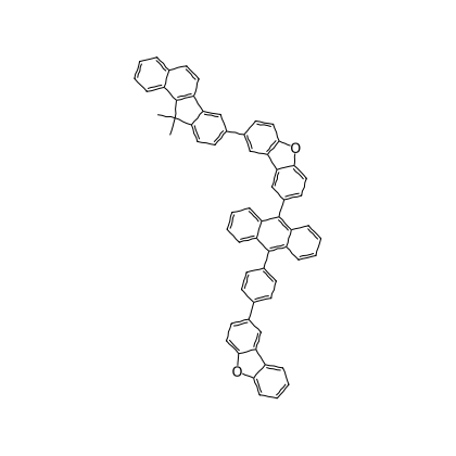 CC1(C)c2ccc(-c3ccc4oc5ccc(-c6c7ccccc7c(-c7ccc(-c8ccc9oc%10ccccc%10c9c8)cc7)c7ccccc67)cc5c4c3)cc2-c2ccc3ccccc3c21